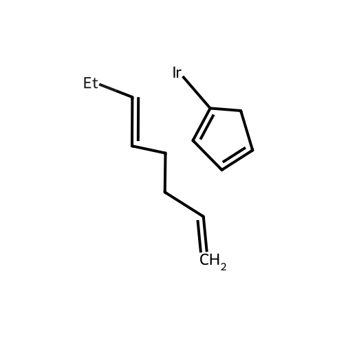 C=CCCC=CCC.[Ir][C]1=CC=CC1